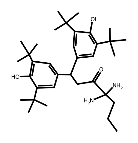 CCCC(N)(N)C(=O)CC(c1cc(C(C)(C)C)c(O)c(C(C)(C)C)c1)c1cc(C(C)(C)C)c(O)c(C(C)(C)C)c1